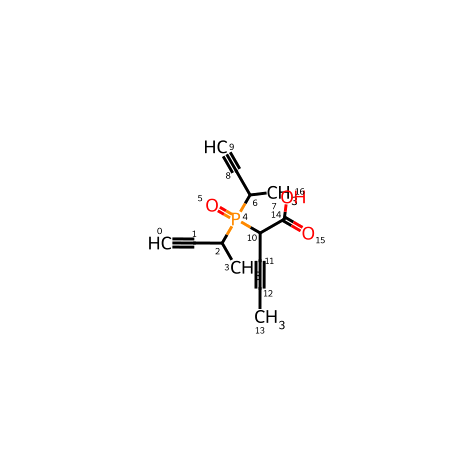 C#CC(C)P(=O)(C(C)C#C)C(C#CC)C(=O)O